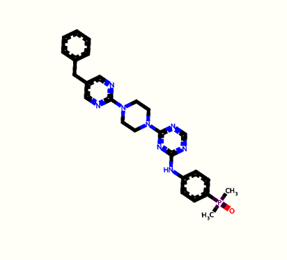 CP(C)(=O)c1ccc(Nc2ncnc(N3CCN(c4ncc(Cc5ccccc5)cn4)CC3)n2)cc1